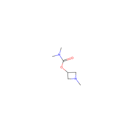 CN1CC(OC(=O)N(C)C)C1